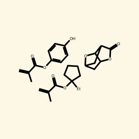 C=C(C)C(=O)OC1(CC)CCCC1.C=C(C)C(=O)Oc1ccc(O)cc1.O=C1OC2[CH]C3CC1C2O3